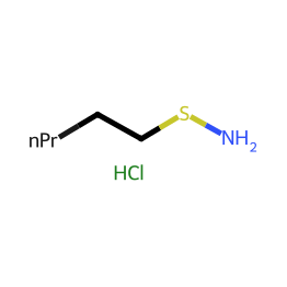 CCCCCSN.Cl